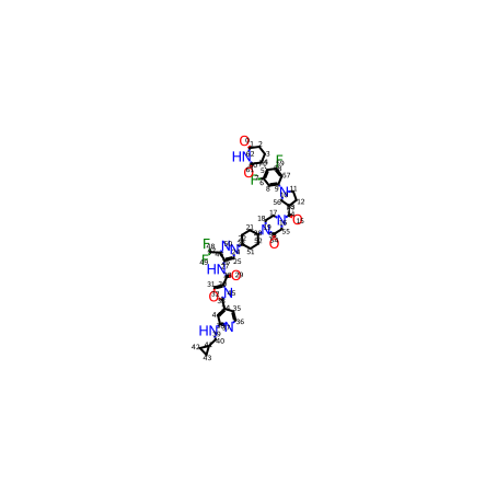 O=C1CC[C@H](c2c(F)cc(N3CC[C@@H](C(=O)N4CCN(C5CCC(n6cc(NC(=O)c7coc(-c8ccnc(NCC9CC9)c8)n7)c(C(F)F)n6)CC5)C(=O)C4)C3)cc2F)C(=O)N1